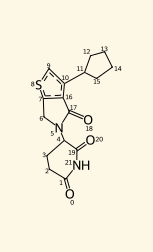 O=C1CCC(N2Cc3scc(C4CCCC4)c3C2=O)C(=O)N1